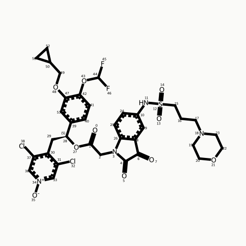 O=C(CN1C(=O)C(=O)c2cc(NS(=O)(=O)CCCN3CCOCC3)ccc21)O[C@@H](Cc1c(Cl)c[n+]([O-])cc1Cl)c1ccc(OC(F)F)c(OCC2CC2)c1